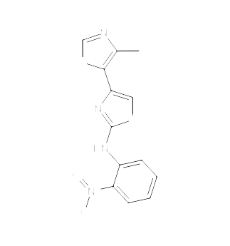 Cc1n[c]sc1-c1csc(Nc2ccccc2[N+](=O)[O-])n1